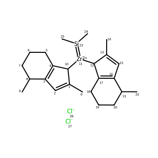 CC1=CC2=C(CCCC2C)[CH]1[Zr+2]([CH]1C(C)=CC2=C1CCCC2C)=[Si](C)C.[Cl-].[Cl-]